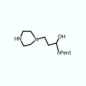 CCCCCC(O)CCN1CCNCC1